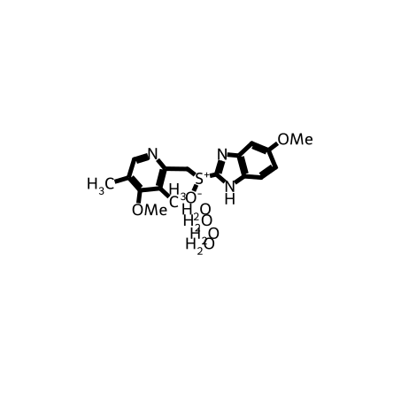 COc1ccc2[nH]c([S+]([O-])Cc3ncc(C)c(OC)c3C)nc2c1.O.O.O.O